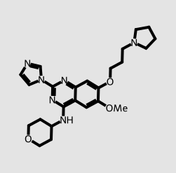 COc1cc2c(NC3CCOCC3)nc(-n3ccnc3)nc2cc1OCCCN1CCCC1